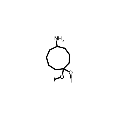 NC1CCCCC(OI)(OI)CCC1